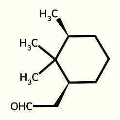 C[C@H]1CCC[C@@H](CC=O)C1(C)C